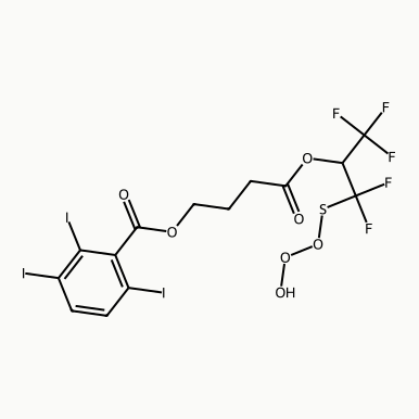 O=C(CCCOC(=O)c1c(I)ccc(I)c1I)OC(C(F)(F)F)C(F)(F)SOOO